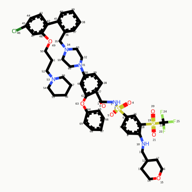 O=C(NS(=O)(=O)c1ccc(NCC2CCOCC2)c(S(=O)(=O)C(F)(F)F)c1)c1ccc(N2CCN(Cc3ccccc3-c3ccc(Cl)cc3OCCCN3CCCCC3)CC2)cc1Oc1ccccc1